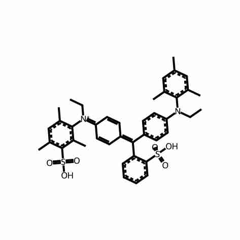 CCN(c1ccc(C(=C2C=CC(=[N+](CC)c3c(C)cc(C)c(S(=O)(=O)O)c3C)C=C2)c2ccccc2S(=O)(=O)O)cc1)c1c(C)cc(C)cc1C